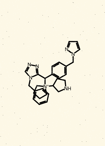 c1ccc(Cn2cnnc2C(c2ccc(Cn3cccn3)cc2)[N+]2(C3CCNC3)CCCC2)cc1